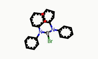 BrB(N(c1ccccc1)c1ccccc1)N(c1ccccc1)c1ccccc1